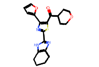 O=C(c1sc(-c2nc3c([nH]2)CCCC3)nc1-c1ccco1)C1CCOCC1